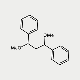 COC(CC(OC)c1ccccc1)c1ccccc1